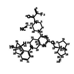 C=C(F)C(=O)N1CCN(c2nc(OC[C@@]34CCCN3C[C@H](F)C4)nc3c2CCN(c2cccc4c2[C@H]2C[C@H]2C4)C3)C[C@@H]1CC#N